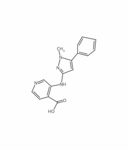 Cn1nc(Nc2cnccc2C(=O)O)cc1-c1ccccc1